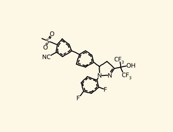 CS(=O)(=O)c1ccc(-c2ccc(C3CC(C(O)(C(F)(F)F)C(F)(F)F)=NN3c3ccc(F)cc3F)cc2)cc1C#N